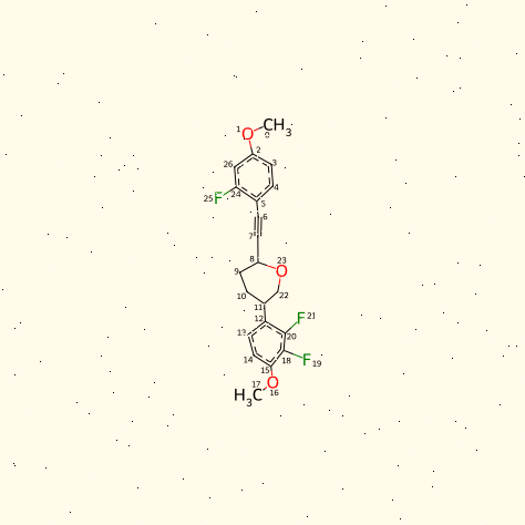 COc1ccc(C#CC2CCC(c3ccc(OC)c(F)c3F)CO2)c(F)c1